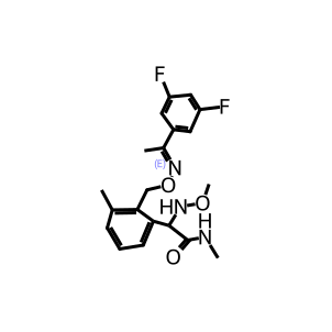 CNC(=O)C(NOC)c1cccc(C)c1CO/N=C(\C)c1cc(F)cc(F)c1